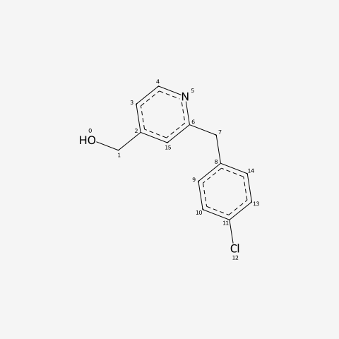 OCc1ccnc(Cc2ccc(Cl)cc2)c1